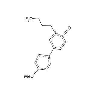 COc1ccc(-c2ccc(=O)n(CCCC(F)(F)F)c2)cc1